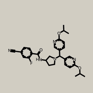 CC(C)Oc1ccc(C(c2ccc(OC(C)C)nc2)N2CCC(NC(=O)c3ccc(C#N)cc3F)C2)cn1